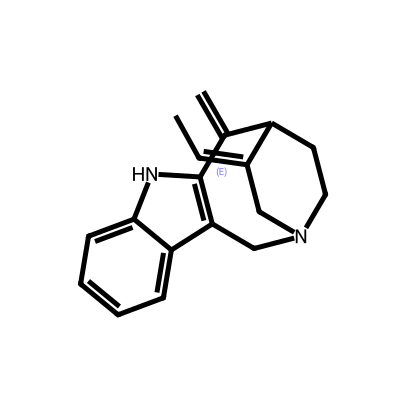 C=C1c2[nH]c3ccccc3c2CN2CCC1/C(=C\C)C2